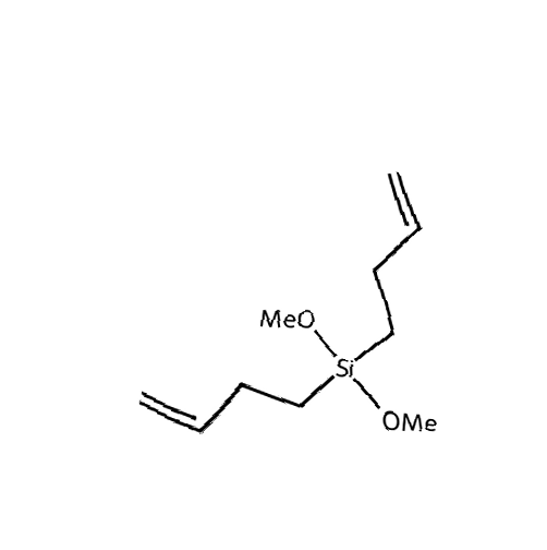 C=CCC[Si](CCC=C)(OC)OC